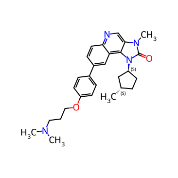 C[C@H]1CC[C@H](n2c(=O)n(C)c3cnc4ccc(-c5ccc(OCCCN(C)C)cc5)cc4c32)C1